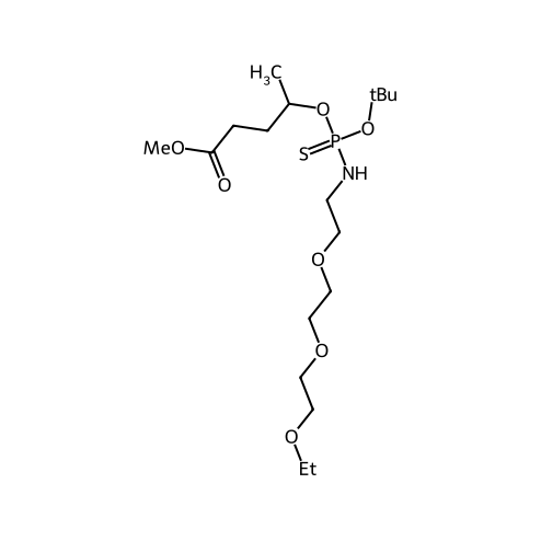 CCOCCOCCOCCNP(=S)(OC(C)CCC(=O)OC)OC(C)(C)C